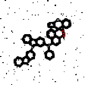 c1ccc(N(c2ccc3c4ccccc4n(-c4ccc5sc6ccccc6c5c4)c3c2)c2ccc3c4c(cccc24)C2(c4ccccc4Oc4ccccc42)c2ccccc2-3)cc1